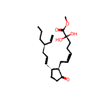 C=C[C@@H](C/C=C/[C@H]1CCC(=O)[C@@H]1C/C=C\CCC(O)(O)C(=O)OC)CCC